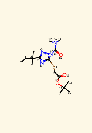 CCC(C)(C)c1nc(SCC(=O)OC(C)(C)C)n(C(=O)N(C)C)n1